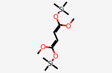 CO/C(=C\C=C(/OC)O[Si](C)(C)C)O[Si](C)(C)C